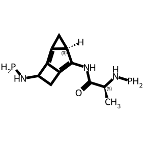 C[C@H](NP)C(=O)NC1=C2CC(NP)C2=C2C[C@H]21